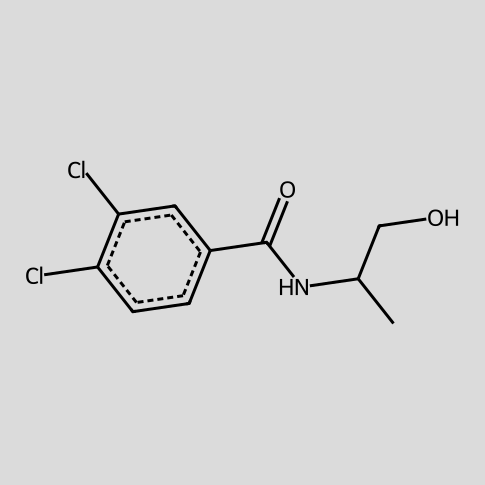 CC(CO)NC(=O)c1ccc(Cl)c(Cl)c1